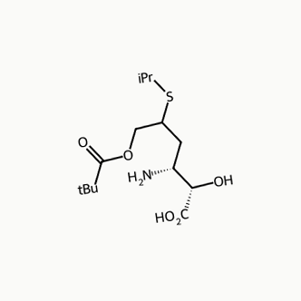 CC(C)SC(COC(=O)C(C)(C)C)C[C@@H](N)[C@H](O)C(=O)O